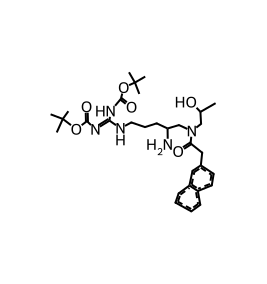 CC(O)CN(CC(N)CCCN/C(=N/C(=O)OC(C)(C)C)NC(=O)OC(C)(C)C)C(=O)Cc1ccc2ccccc2c1